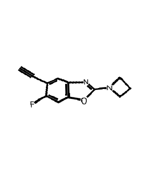 C#Cc1cc2nc(N3CCC3)oc2cc1F